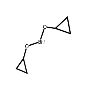 B(OC1CC1)OC1CC1